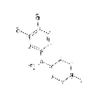 CN1CCC(Oc2ccc(Cl)c(Cl)c2)CC1.Cl